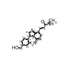 CNC(=O)/C=C/c1cnc(N)c2c(-c3ccc(CO)cc3)csc12